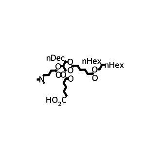 CCCCCCCCCCC(OC(=O)CCCCC(=O)OCC(CCCCCC)CCCCCC)C(COC(=O)CCCCC(=O)O)OC(=O)CCCN(C)C